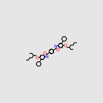 CCCCC(CC)COc1cc2oc(-c3ccc(-c4nc5cc(C6CCCCC6)c(OCC(CC)CCCC)cc5o4)cc3)nc2cc1C1CCCCC1